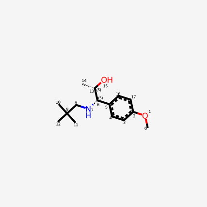 COc1ccc([C@H](NCC(C)(C)C)[C@H](C)O)cc1